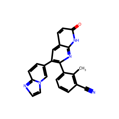 Cc1c(C#N)cccc1-c1nc2[nH]c(=O)ccc2cc1-c1ccc2nccn2c1